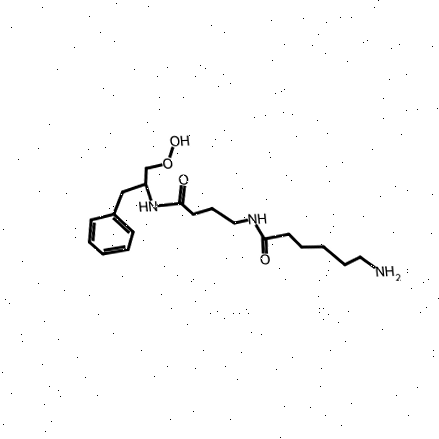 NCCCCCC(=O)NCCCC(=O)NC(COO)Cc1ccccc1